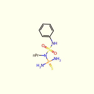 CCCN(P(N)(N)=S)S(=O)(=O)Nc1ccccc1